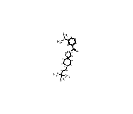 CN(C)c1cccc(C(=O)NCC2(F)CCN(CCC(C)(C)C)CC2)c1